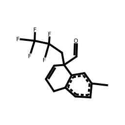 Cc1ccc2c(c1)C(C=O)(CC(F)(F)C(F)(F)F)C=CC2